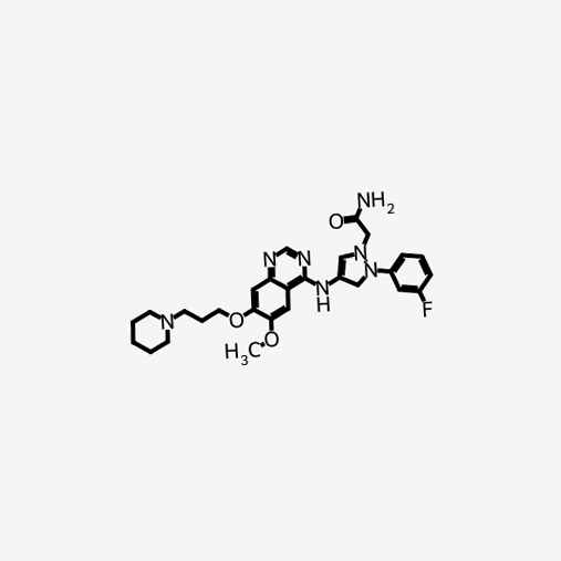 COc1cc2c(NC3=CN(CC(N)=O)N(c4cccc(F)c4)C3)ncnc2cc1OCCCN1CCCCC1